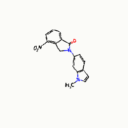 Cn1ccc2ccc(N3Cc4c(cccc4[N+](=O)[O-])C3=O)cc21